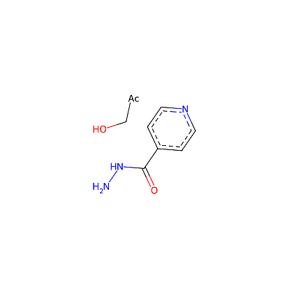 CC(=O)CO.NNC(=O)c1ccncc1